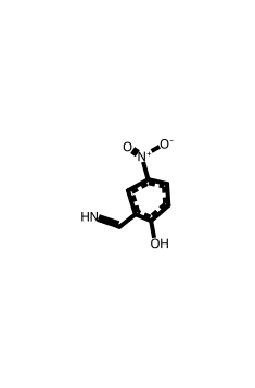 N=Cc1cc([N+](=O)[O-])ccc1O